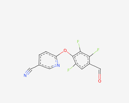 N#Cc1ccc(Oc2c(F)cc(C=O)c(F)c2F)nc1